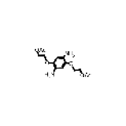 CC(=O)OCCOc1cc(N)c(OCCOC(C)=O)cc1N